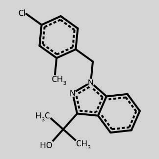 Cc1cc(Cl)ccc1Cn1nc(C(C)(C)O)c2ccccc21